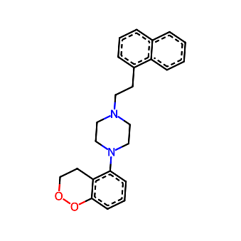 c1cc2c(c(N3CCN(CCc4cccc5ccccc45)CC3)c1)CCOO2